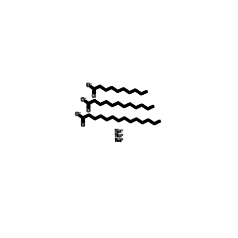 CCCCCCCCCC(=O)[O-].CCCCCCCCCCCC(=O)[O-].CCCCCCCCCCCCCC(=O)[O-].[Na+].[Na+].[Na+]